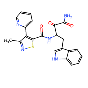 Cc1nsc(C(=O)NC(Cc2c[nH]c3ccccc23)C(=O)C(N)=O)c1-c1ccccn1